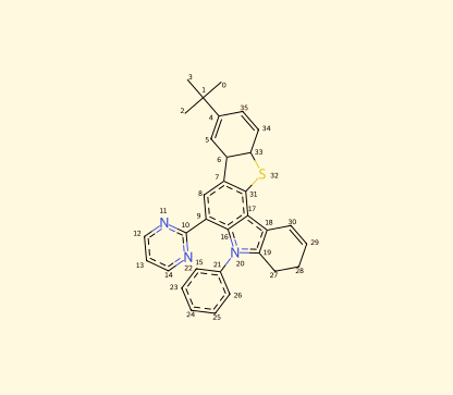 CC(C)(C)C1=CC2c3cc(-c4ncccn4)c4c(c5c(n4-c4ccccc4)CCC=C5)c3SC2C=C1